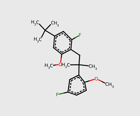 COc1ccc(F)cc1C(C)(C)Cc1c(F)cc(C(C)(C)C)cc1OC